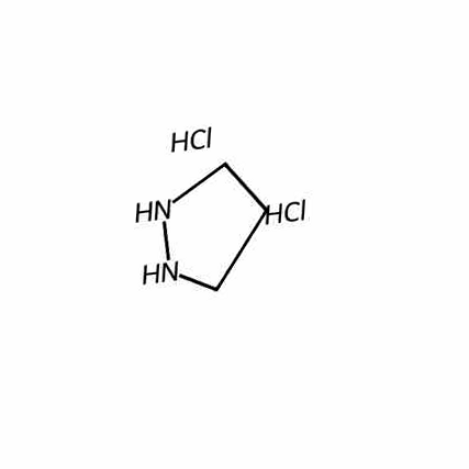 C1CNNC1.Cl.Cl